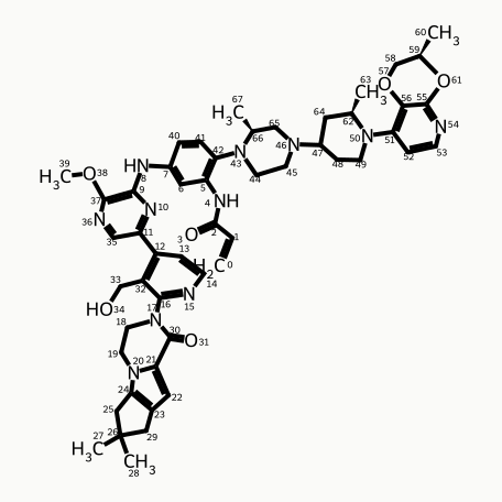 C=CC(=O)Nc1cc(Nc2nc(-c3ccnc(N4CCn5c(cc6c5CC(C)(C)C6)C4=O)c3CO)cnc2OC)ccc1N1CCN(C2CCN(c3ccnc4c3OC[C@@H](C)O4)[C@H](C)C2)C[C@@H]1C